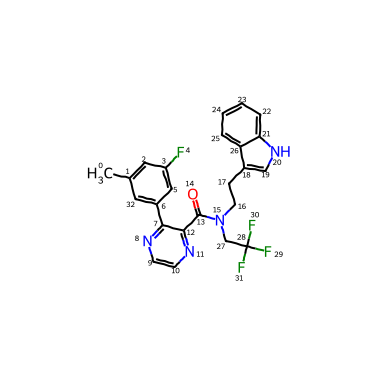 Cc1cc(F)cc(-c2nccnc2C(=O)N(CCc2c[nH]c3ccccc23)CC(F)(F)F)c1